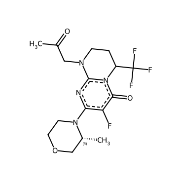 CC(=O)CN1CCC(C(F)(F)F)n2c1nc(N1CCOC[C@H]1C)c(F)c2=O